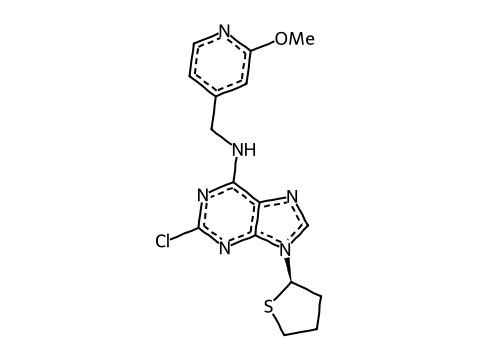 COc1cc(CNc2nc(Cl)nc3c2ncn3[C@H]2CCCS2)ccn1